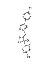 Cc1cc(Br)ccc1S(=O)(=O)NCc1ccc(-c2ccc(Cl)cc2)s1